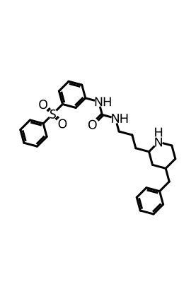 O=C(NCCCC1CC(Cc2ccccc2)CCN1)Nc1cccc(S(=O)(=O)c2ccccc2)c1